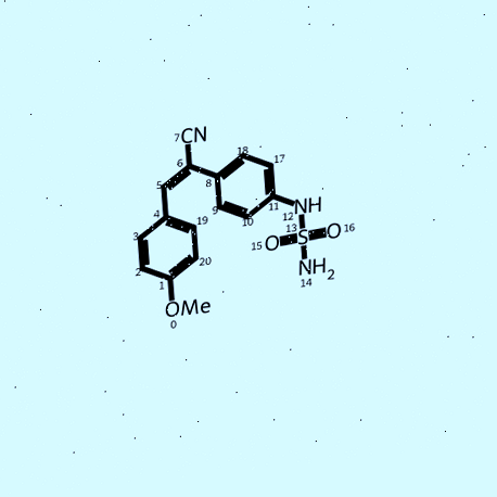 COc1ccc(C=C(C#N)c2ccc(NS(N)(=O)=O)cc2)cc1